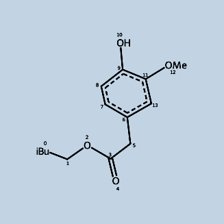 CCC(C)COC(=O)Cc1ccc(O)c(OC)c1